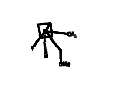 COC[C@H]1N(C)C2CC1(F)C2